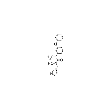 CC(C(=O)N(O)Cn1ccnc1)c1cccc(Oc2ccccc2)c1